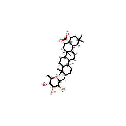 CC1O[C@@H](C[C@@H]2CC[C@@]3(C)C(CC[C@]4(C)C3CC=C3C5CC(C)(C)CC[C@]5(C(=O)O)CC[C@]34C)C2(C)C)C(O)[C@@H](O)[C@@H]1O